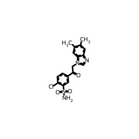 Cc1cc2ncn(CC(=O)c3ccc(Cl)c(S(N)(=O)=O)c3)c2cc1C